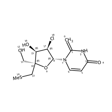 C=C1NC(=O)C=CN1[C@@H]1O[C@@](CO)(CSC)[C@@H](O)[C@H]1Cl